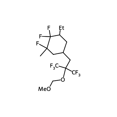 CCC1CC(CC(OCOC)(C(F)(F)F)C(F)(F)F)CC(C)(F)C1(F)F